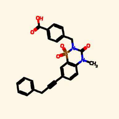 CN1C(=O)N(Cc2ccc(C(=O)O)cc2)S(=O)(=O)c2cc(C#CCc3ccccc3)ccc21